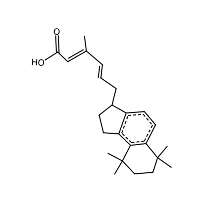 CC(C=CCC1CCc2c1ccc1c2C(C)(C)CCC1(C)C)=CC(=O)O